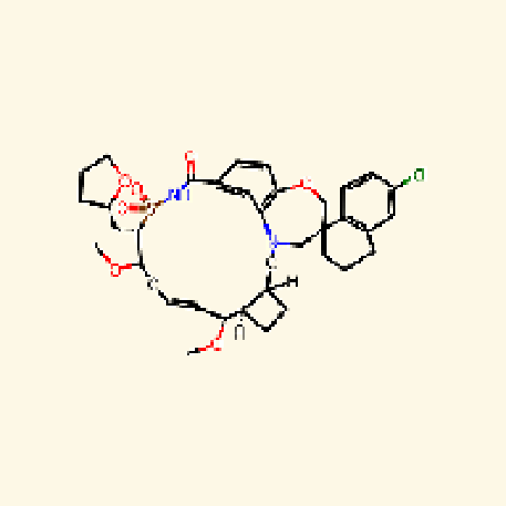 COC1C/C=C/[C@H](OC)[C@@H]2CC[C@H]2CN2C[C@@]3(CCCc4cc(Cl)ccc43)COc3ccc(cc32)C(=O)NS(=O)(=O)[C@H]1C[C@H]1CCCO1